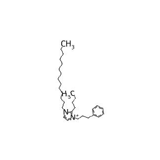 CCCCCCCCCCCCCCn1cc[n+](CCCc2ccccc2)c1CCCC